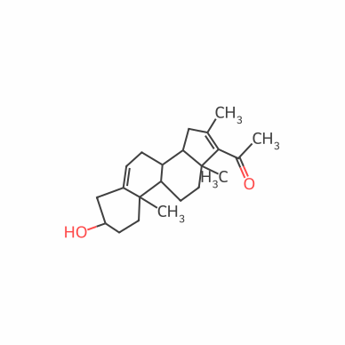 CC(=O)C1=C(C)CC2C3CC=C4CC(O)CCC4(C)C3CCC12C